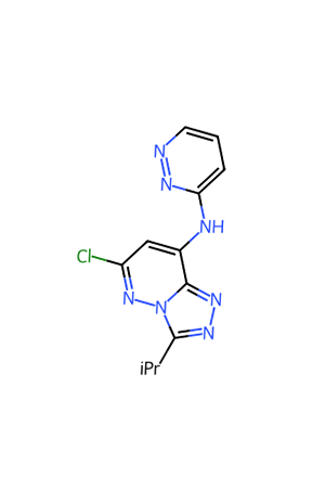 CC(C)c1nnc2c(Nc3cccnn3)cc(Cl)nn12